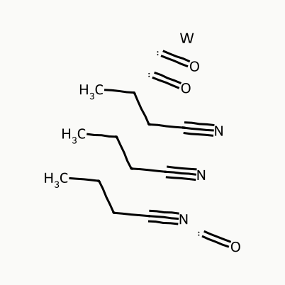 CCCC#N.CCCC#N.CCCC#N.[C]=O.[C]=O.[C]=O.[W]